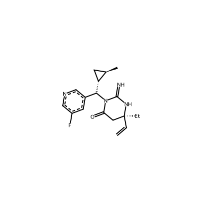 C=C[C@@]1(CC)CC(=O)N(C(c2cncc(F)c2)[C@@H]2C[C@H]2C)C(=N)N1